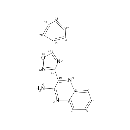 Nc1nc2ccccc2nc1-c1noc(-c2ccccc2)n1